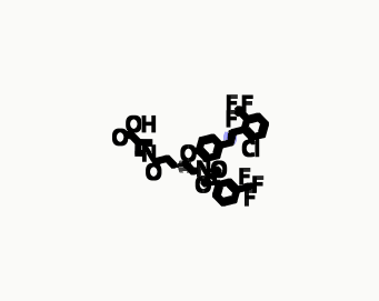 O=C(O)C1CN(C(=O)CC[C@H]2CN(S(=O)(=O)c3cccc(C(F)(F)F)c3)c3cc(/C=C/c4c(Cl)cccc4C(F)(F)F)ccc3O2)C1